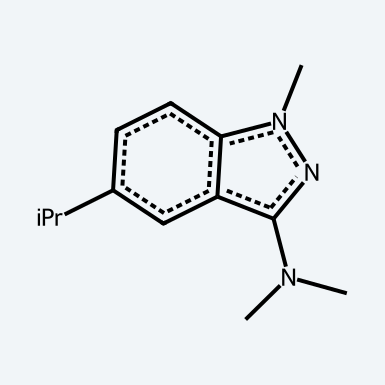 CC(C)c1ccc2c(c1)c(N(C)C)nn2C